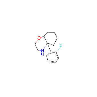 Fc1ccccc1C12CCCCC1OCCN2